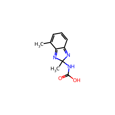 Cc1cccc2c1=NC(C)(NC(=O)O)N=2